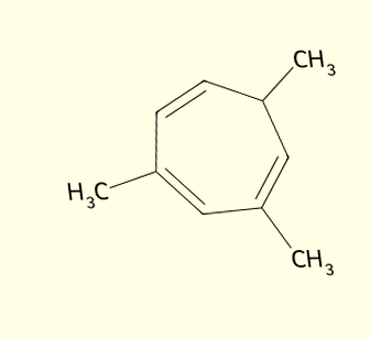 CC1=CC(C)=CC(C)C=C1